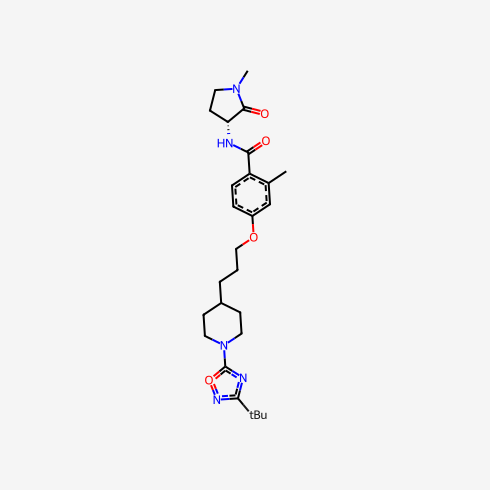 Cc1cc(OCCCC2CCN(c3nc(C(C)(C)C)no3)CC2)ccc1C(=O)N[C@@H]1CCN(C)C1=O